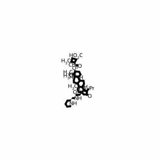 CC(C)C1=C2[C@H]3CC[C@@H]4[C@@]5(C)CC[C@H](OC(=O)[C@H]6C[C@@H](C(=O)O)C6(C)C)C(C)(C)[C@@H]5CC[C@@]4(C)[C@]3(C)CC[C@@]2(CC(=O)NC[C@H]2CCCCN2)CC1=O